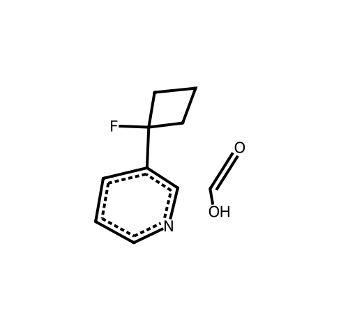 FC1(c2cccnc2)CCC1.O=CO